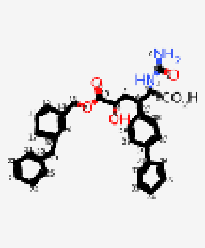 NC(=O)NC(C(=O)O)C(CC(O)C(=O)OCc1cccc(Cc2ccccc2)c1)c1ccc(-c2ccccc2)cc1